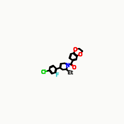 CCC1CC(c2ccc(Cl)cc2F)=CCN1C(=O)c1ccc2c(c1)OCCO2